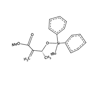 C=C(C(=O)OC)[C@@H](C)O[Si](c1ccccc1)(c1ccccc1)C(C)(C)C